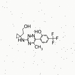 Cc1nc(NC2(CCO)CC2)nnc1-c1ccc(C(F)(F)F)cc1O